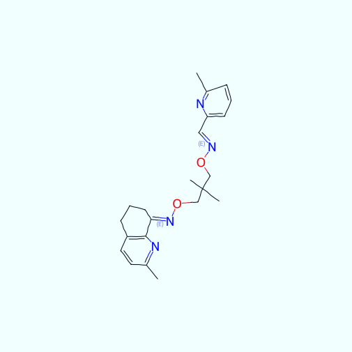 Cc1cccc(/C=N/OCC(C)(C)CO/N=C2\CCCc3ccc(C)nc32)n1